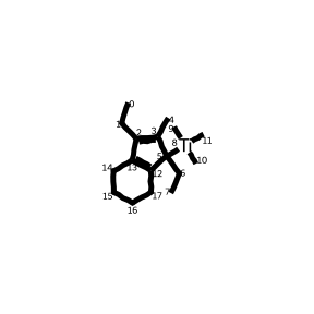 CCC1=C(C)[C](CC)([Ti]([CH3])([CH3])[CH3])C2=C1CCCC2